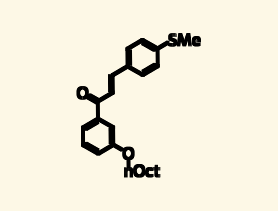 CCCCCCCCOc1cccc(C(=O)C=Cc2ccc(SC)cc2)c1